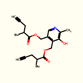 C#CCC(C(=O)OCc1cnc(C)c(O)c1COC(=O)C(CC#C)C(C)CC)C(C)CC